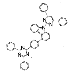 c1ccc(-c2cc(-c3ccccc3)nc(-n3c4ccccc4c4c(-c5ccc(-c6nc(-c7ccccc7)nc(-c7ccccc7)n6)cc5)cccc43)n2)cc1